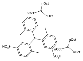 CCCCCCCCN(CCCCCCCC)CCCCCCCC.CCCCCCCCN(CCCCCCCC)CCCCCCCC.Cc1ccccc1P(c1cc(S(=O)(=O)O)ccc1C)c1cc(S(=O)(=O)O)ccc1C